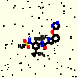 COc1c(NC(=O)c2cc3cccc(Oc4ccncn4)c3n2C)cc(C2(C)CC2)cc1NS(C)(=O)=O